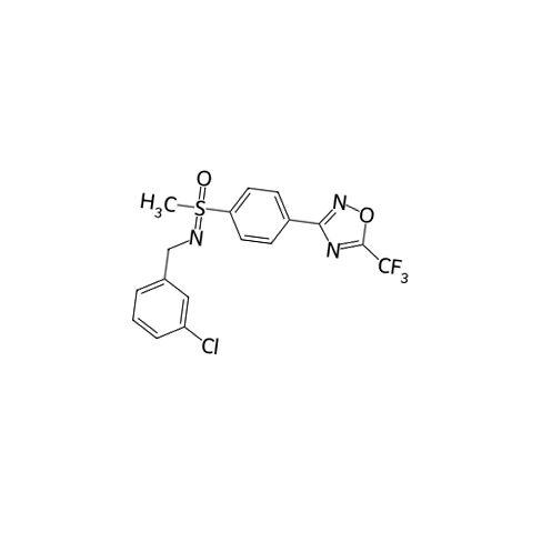 CS(=O)(=NCc1cccc(Cl)c1)c1ccc(-c2noc(C(F)(F)F)n2)cc1